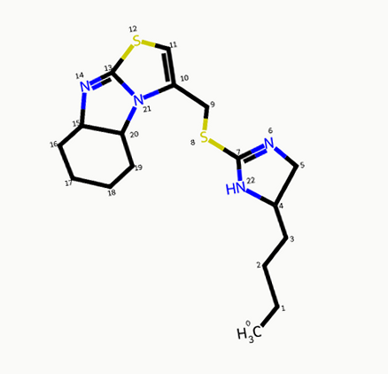 CCCCC1CN=C(SCC2=CSC3=NC4CCCCC4N23)N1